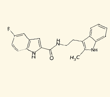 Cc1[nH]c2ccccc2c1CCNC(=O)c1cc2cc(F)ccc2[nH]1